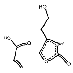 C=CC(=O)O.O=c1[nH]c(CCO)co1